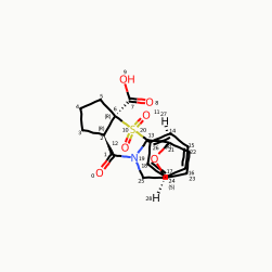 O=C([C@H]1CCC[C@@]1(C(=O)O)S(=O)(=O)c1ccccc1)N1C[C@H]2CC[C@@H](C1)O2